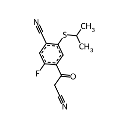 CC(C)Sc1cc(C(=O)CC#N)c(F)cc1C#N